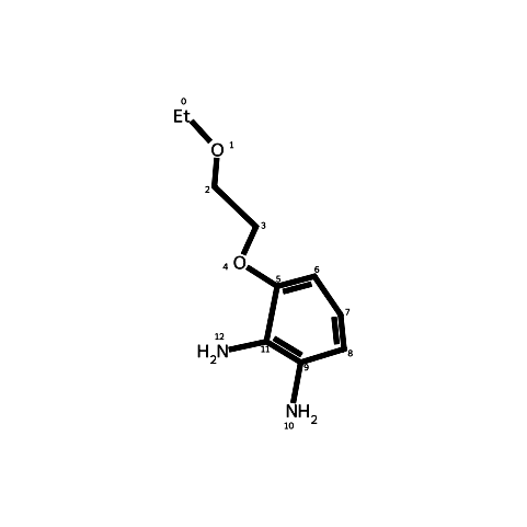 CCOCCOc1cccc(N)c1N